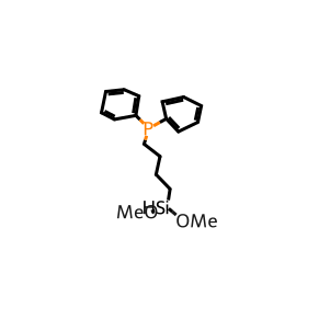 CO[SiH](CCCCP(c1ccccc1)c1ccccc1)OC